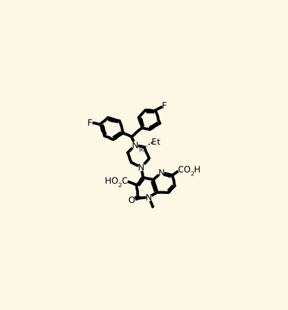 CC[C@@H]1CN(c2c(C(=O)O)c(=O)n(C)c3ccc(C(=O)O)nc23)CCN1C(c1ccc(F)cc1)c1ccc(F)cc1